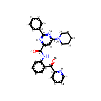 O=C(Nc1ccccc1C(=O)c1ccccn1)c1cc(N2CCCCC2)nc(-c2ccccc2)n1